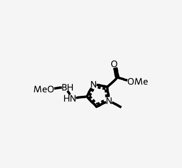 COBNc1cn(C)c(C(=O)OC)n1